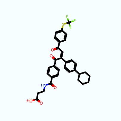 O=C(O)CCNC(=O)c1ccc(C(=O)/C(=C\C(=O)c2ccc(SC(F)(F)F)cc2)c2ccc(C3CCCCC3)cc2)cc1